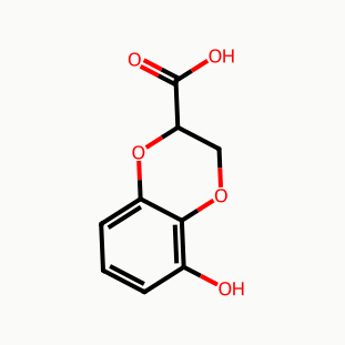 O=C(O)C1COc2c(O)cccc2O1